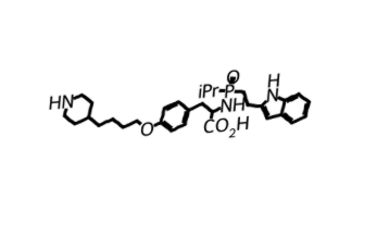 CC(C)P(=O)(CCc1cc2ccccc2[nH]1)NC(Cc1ccc(OCCCCC2CCNCC2)cc1)C(=O)O